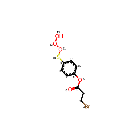 O=C(CCBr)Oc1ccc(SOOO)cc1